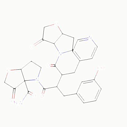 NC(=O)C12C(=O)COC1CCN2C(=O)C(Cc1cccc(O)c1)[C](Cc1ccncc1)C(=O)N1CCC2OCC(=O)C21